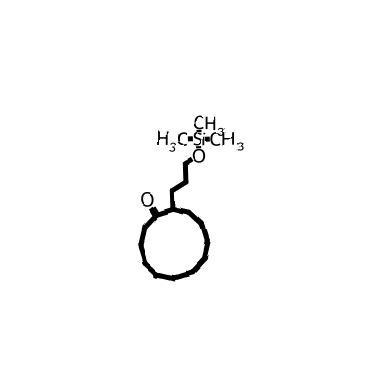 C[Si](C)(C)OCCCC1CCCCCCCCCCC1=O